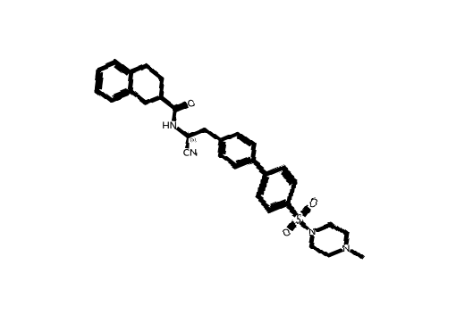 CN1CCN(S(=O)(=O)c2ccc(-c3ccc(C[C@@H](C#N)NC(=O)C4CCc5ccccc5C4)cc3)cc2)CC1